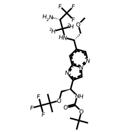 [2H]C([2H])(N[C@H](COC)c1cnn2cc([C@H](COC(C)(C)C(F)(F)F)NC(=O)OC(C)(C)C)nc2c1)[C@H](N)C(F)(F)F